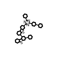 c1ccc(-c2ccc(-c3nc(-c4ccccc4)nc(-c4ccc5c(c4)sc4c(-c6cc(-c7ccccc7)cc7sc8ccccc8c67)cccc45)n3)cc2)cc1